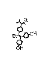 C=C(C)/C(=C(/C)CC)c1ccc(C(CC)=C(c2ccc(O)cc2)c2ccc(O)cc2)cc1